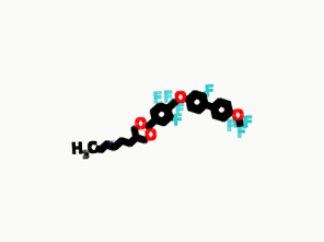 CC/C=C/CCC1COC(c2cc(F)c(C(F)(F)Oc3ccc(-c4ccc(OC(F)(F)F)cc4)c(F)c3)c(F)c2)OC1